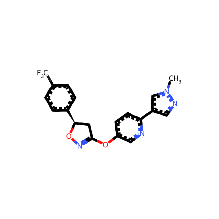 Cn1cc(-c2ccc(OC3=NO[C@@H](c4ccc(C(F)(F)F)cc4)C3)cn2)cn1